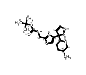 C[C@H]1CCC(C2(c3csc(CNC(=O)OC(C)(C)C)n3)C=CN=N2)OC1